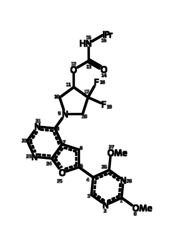 COc1ncc(-c2cc3c(N4CC(OC(=O)NC(C)C)C(F)(F)C4)ncnc3o2)c(OC)n1